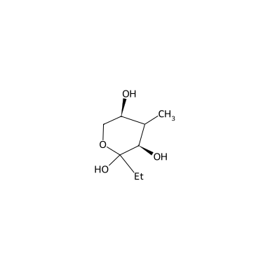 CCC1(O)OC[C@@H](O)C(C)[C@H]1O